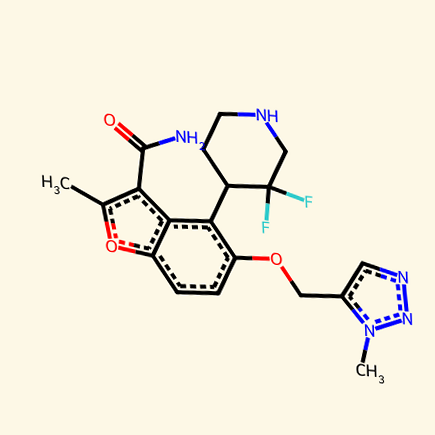 Cc1oc2ccc(OCc3cnnn3C)c(C3CCNCC3(F)F)c2c1C(N)=O